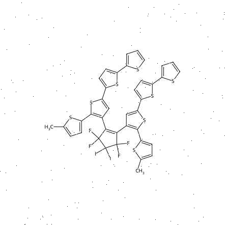 Cc1ccc(-c2sc(-c3ccc(-c4cccs4)s3)cc2C2=C(c3cc(-c4ccc(-c5cccs5)s4)sc3-c3ccc(C)s3)C(F)(F)C(I)(I)C2(F)F)s1